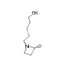 O=C1CCN1CCCCCO